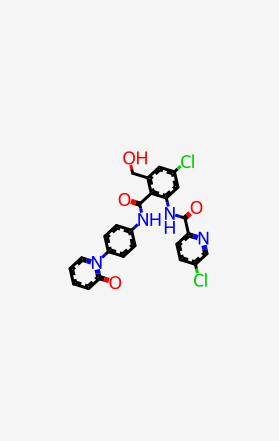 O=C(Nc1cc(Cl)cc(CO)c1C(=O)Nc1ccc(-n2ccccc2=O)cc1)c1ccc(Cl)cn1